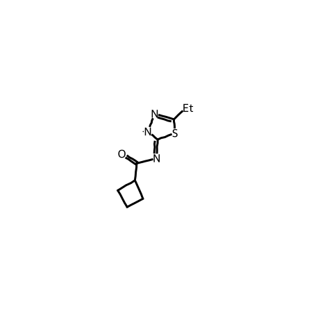 CCC1=N[N]C(=NC(=O)C2CCC2)S1